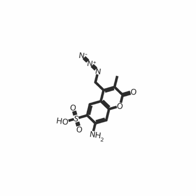 Cc1c(CN=[N+]=[N-])c2cc(S(=O)(=O)O)c(N)cc2oc1=O